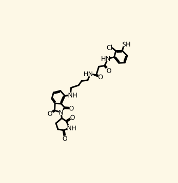 O=C(CC(=O)Nc1cccc(S)c1Cl)NCCCCNc1cccc2c1C(=O)N(C1CCC(=O)NC1=O)C2=O